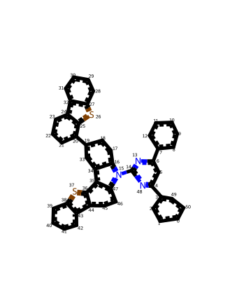 c1ccc(-c2cc(-c3ccccc3)nc(-n3c4ccc(-c5cccc6c5sc5ccccc56)cc4c4c5sc6ccccc6c5ccc43)n2)cc1